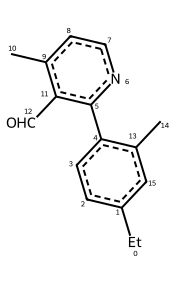 CCc1ccc(-c2nccc(C)c2C=O)c(C)c1